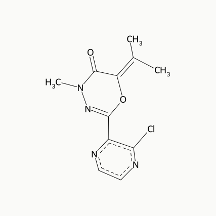 CC(C)=C1OC(c2nccnc2Cl)=NN(C)C1=O